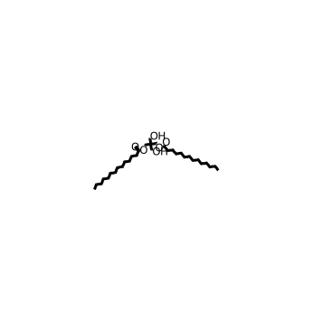 CCCCCCCCCCCCCC(=O)OCC(CO)(CO)COC(=O)CCCCCCCCCCCCC